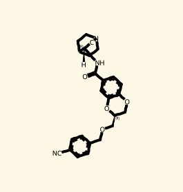 N#Cc1ccc(COC[C@@H]2COc3ccc(C(=O)N[C@H]4CN5CCC4CC5)cc3O2)cc1